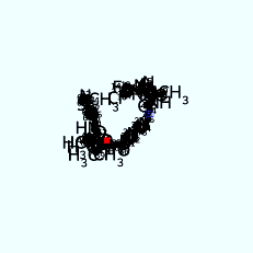 COc1cc2ncnc(Nc3ccc(F)c(Cl)c3)c2cc1NC(=O)/C=C/CN1CCC(N2CCN(C(=O)CCC(=O)NC(C(=O)N3C[C@H](O)C[C@H]3C(=O)NCc3ccc(-c4scnc4C)cc3)C(C)(C)C)CC2)CC1